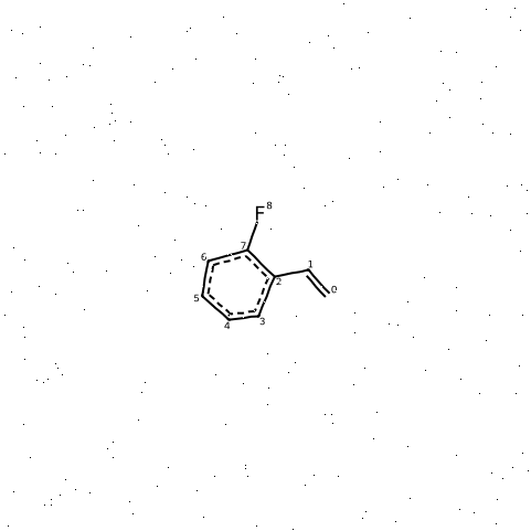 C=Cc1c[c]ccc1F